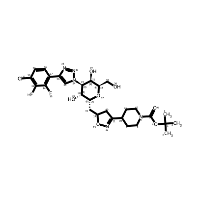 CC(C)(C)OC(=O)N1CCC(C2=NOC(C[C@H]3O[C@H](CO)[C@H](O)[C@H](n4cc(-c5ccc(Cl)c(F)c5F)nn4)[C@H]3O)C2)CC1